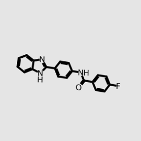 O=C(Nc1ccc(-c2nc3ccccc3[nH]2)cc1)c1ccc(F)cc1